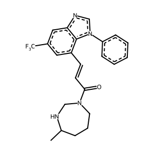 CC1CCCN(C(=O)C=Cc2cc(C(F)(F)F)cc3ncn(-c4ccccc4)c23)CN1